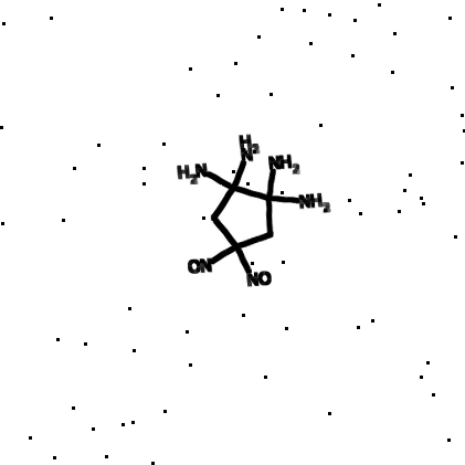 NC1(N)CC(N=O)(N=O)CC1(N)N